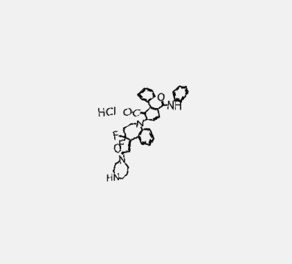 Cl.O=C=C1C(c2ccccc2)=C(C(=O)Nc2ccccc2)C=CC1N1CCC(F)(F)C(=CC(=O)N2CCCNCC2)c2ccccc21